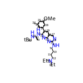 C=C(Nc1nc2nc(NCCCCN(CC)CC)ncc2cc1-c1cc(C)cc(OC)c1)NC(C)(C)C